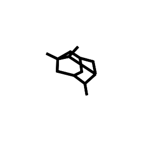 CC1C2CC3CC1C(C)C(C)(C3)C2